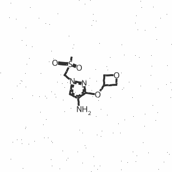 CS(=O)(=O)Cn1cc(N)c(OC2COC2)n1